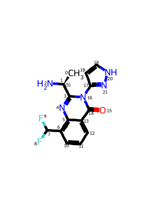 C[C@H](N)c1nc2c(C(F)F)cccc2c(=O)n1-c1cc[nH]n1